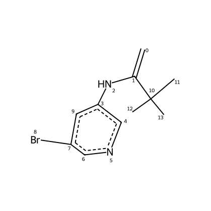 C=C(Nc1cncc(Br)c1)C(C)(C)C